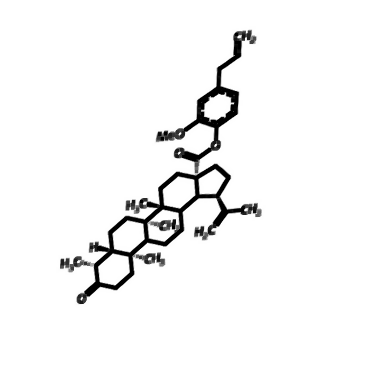 C=CCc1ccc(OC(=O)[C@]23CC[C@@H](C(=C)C)C2C2CCC4[C@@]5(C)CCC(=O)[C@H](C)[C@@H]5CC[C@@]4(C)[C@]2(C)CC3)c(OC)c1